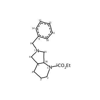 CCOC(=O)N1CCCC2CN(Cc3ccccc3)CC21